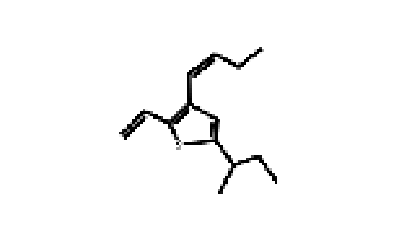 C=Cc1sc(C(C)CC)cc1/C=C\CC